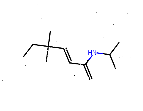 C=C(/C=C/C(C)(C)CC)NC(C)C